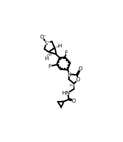 O=C(NC[C@H]1CN(c2cc(F)c(C3[C@H]4C[S+]([O-])C[C@@H]34)c(F)c2)C(=O)O1)C1CC1